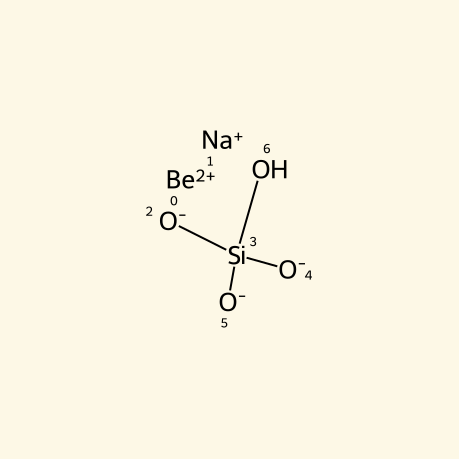 [Be+2].[Na+].[O-][Si]([O-])([O-])O